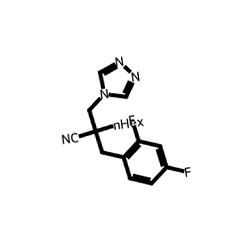 CCCCCCC(C#N)(Cc1ccc(F)cc1F)Cn1cnnc1